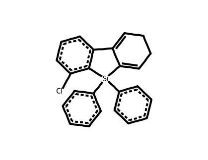 Clc1cccc2c1[Si](c1ccccc1)(c1ccccc1)C1=CCCC=C12